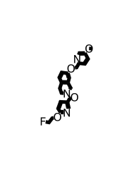 COc1ccc(COc2ccc3c(c2)CN(C(=O)c2ccc(OCCF)nc2)CC3)nc1